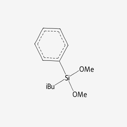 CCC(C)[Si](OC)(OC)c1ccccc1